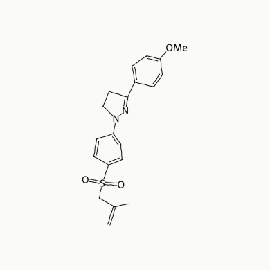 C=C(C)CS(=O)(=O)c1ccc(N2CCC(c3ccc(OC)cc3)=N2)cc1